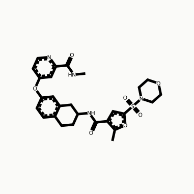 CNC(=O)c1cc(Oc2ccc3c(c2)CC(NC(=O)c2cc(S(=O)(=O)N4CCOCC4)oc2C)CC3)ccn1